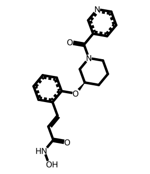 O=C(/C=C/c1ccccc1O[C@@H]1CCCN(C(=O)c2cccnc2)C1)NO